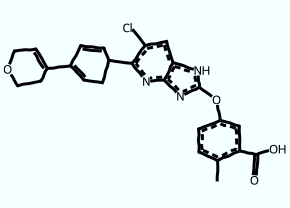 Cc1ccc(Oc2nc3nc(C4C=CC(C5=CCOCC5)=CC4)c(Cl)cc3[nH]2)cc1C(=O)O